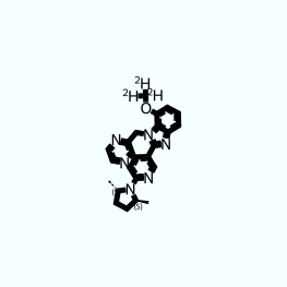 [2H]C([2H])([2H])Oc1cccc2nc(-c3ccc(N4[C@@H](C)CC[C@@H]4C)nc3)n(Cc3cnccn3)c12